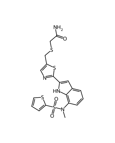 CN(c1cccc2cc(-c3ncc(CSCC(N)=O)s3)[nH]c12)S(=O)(=O)c1cccs1